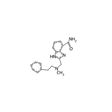 CN(CCc1ccccc1)Cc1nc2c(C(N)=O)cccc2[nH]1